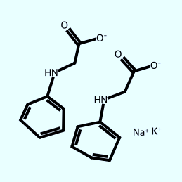 O=C([O-])CNc1ccccc1.O=C([O-])CNc1ccccc1.[K+].[Na+]